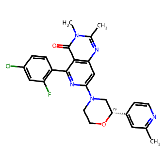 Cc1cc([C@H]2CN(c3cc4nc(C)n(C)c(=O)c4c(-c4ccc(Cl)cc4F)n3)CCO2)ccn1